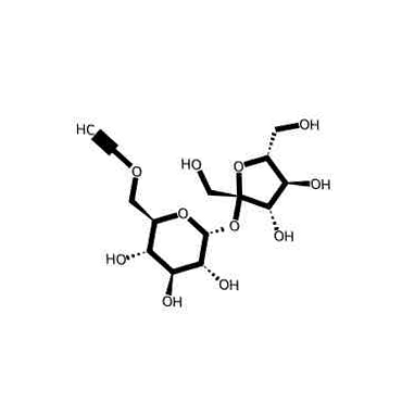 C#COC[C@H]1O[C@H](O[C@]2(CO)O[C@H](CO)[C@@H](O)[C@@H]2O)[C@H](O)[C@@H](O)[C@@H]1O